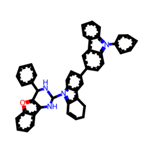 C1=Cc2c(c3cc(-c4ccc5c(c4)c4ccccc4n5-c4ccccc4)ccc3n2C2Nc3c(oc4ccccc34)C(c3ccccc3)N2)CC1